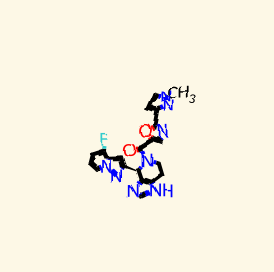 Cn1ccc(-c2ncc(C(=O)N3CCc4[nH]cnc4[C@H]3c3cc4c(F)cccn4n3)o2)n1